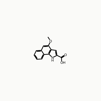 COc1cc2ccccc2c2[nH]c(C(=O)O)cc12